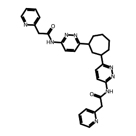 O=C(Cc1ccccn1)Nc1ccc(C2CCCCC(c3ccc(NC(=O)Cc4ccccn4)nn3)C2)nn1